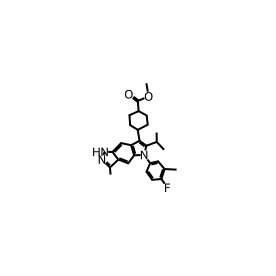 COC(=O)C1CCC(c2c(C(C)C)n(-c3ccc(F)c(C)c3)c3cc4c(C)n[nH]c4cc23)CC1